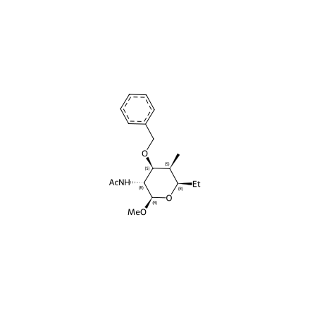 CC[C@H]1O[C@@H](OC)[C@H](NC(C)=O)[C@@H](OCc2ccccc2)[C@H]1C